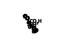 O=C(Nc1scc(C2CCc3ccccc3C2)c1C(=O)O)c1ccc2c(c1)OCCO2